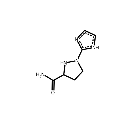 NC(=O)C1CCN(c2ncc[nH]2)N1